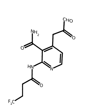 NC(=O)c1c(CC(=O)C=O)ccnc1NC(=O)CCC(F)(F)F